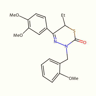 CCC1SC(=O)N(Cc2ccccc2OC)N=C1c1ccc(OC)c(OC)c1